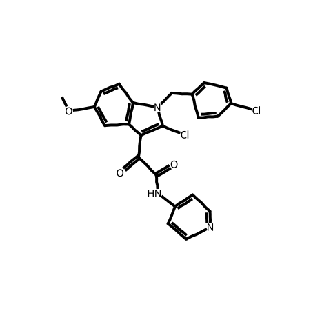 COc1ccc2c(c1)c(C(=O)C(=O)Nc1ccncc1)c(Cl)n2Cc1ccc(Cl)cc1